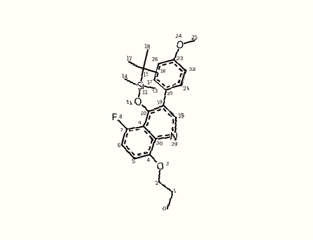 CCCOc1ccc(F)c2c(O[Si](C)(C)C(C)(C)C)c(-c3ccc(OC)cc3)cnc12